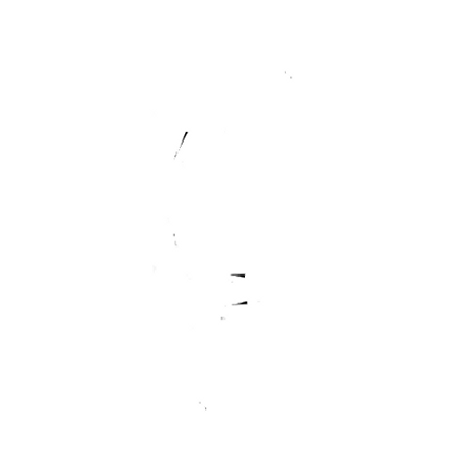 CN(C)c1ccc2c(c1)C[C@]13CCC(=O)C=C1CC[C@@H]1C3C2C[C@@]2(C)[C@H]1CC[C@@]2(O)CC#N